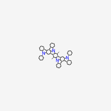 Cc1c2c3cc4c(c5ccccc5n4-c4ccccc4)c4c5ccccc5n(c2c(C)c2c5cc6c(c7ccccc7n6-c6ccccc6)c6c7ccccc7n(c12)c56)c34